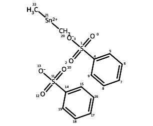 O=S(=O)([O-])c1ccccc1.O=S(=O)([O-])c1ccccc1.[CH3][Sn+2][CH3]